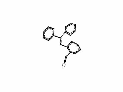 O=Cc1ccccc1C=C(c1ccccc1)c1ccccc1